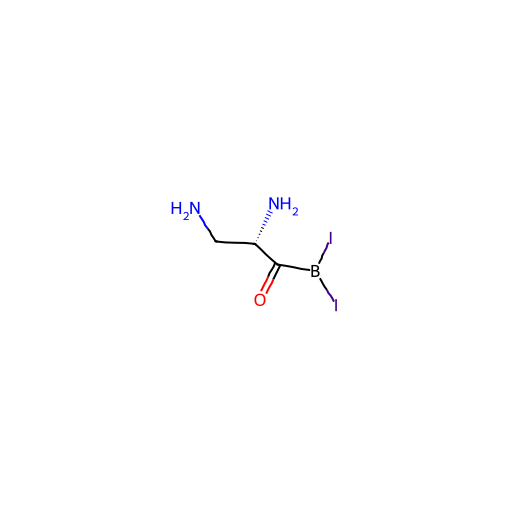 NC[C@H](N)C(=O)B(I)I